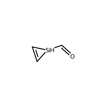 O=C[SiH]1C=C1